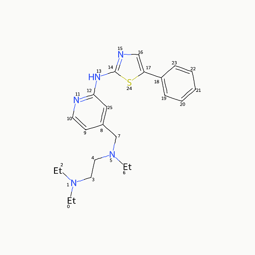 CCN(CC)CCN(CC)Cc1ccnc(Nc2ncc(-c3ccccc3)s2)c1